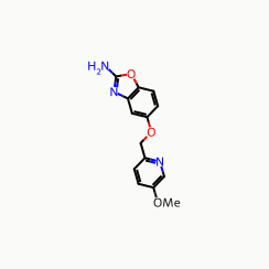 COc1ccc(COc2ccc3oc(N)nc3c2)nc1